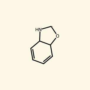 [CH]1NC2C=CC=CC2O1